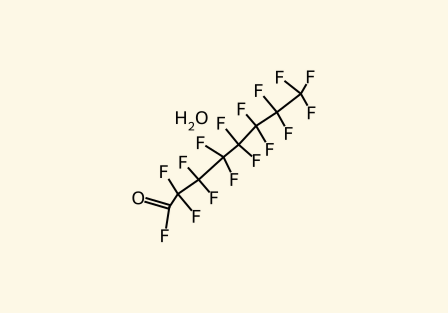 O.O=C(F)C(F)(F)C(F)(F)C(F)(F)C(F)(F)C(F)(F)C(F)(F)C(F)(F)F